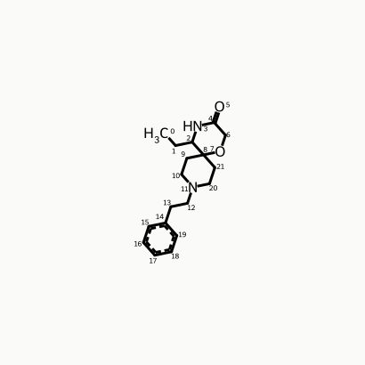 CCC1NC(=O)COC12CCN(CCc1ccccc1)CC2